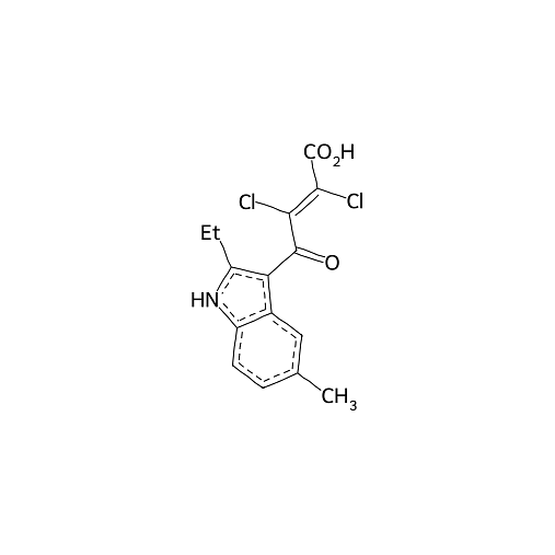 CCc1[nH]c2ccc(C)cc2c1C(=O)/C(Cl)=C(\Cl)C(=O)O